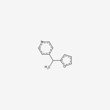 CC(c1ccncc1)c1ccco1